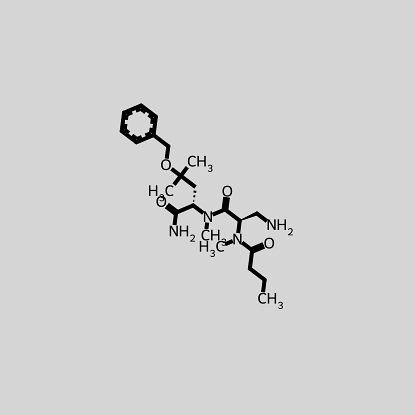 CCCC(=O)N(C)[C@H](CN)C(=O)N(C)[C@@H](CC(C)(C)OCc1ccccc1)C(N)=O